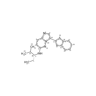 CC[C@@H](Nc1ccc2ncc(-c3cc4ccccc4s3)n2n1)C(C)C